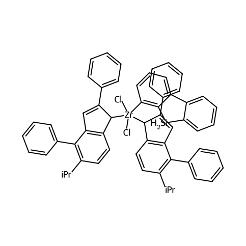 CC(C)c1ccc2c(c1-c1ccccc1)C=C(c1ccccc1)[CH]2[Zr]([Cl])([Cl])([c]1cccc2c1[SiH2]c1ccccc1-2)[CH]1C(c2ccccc2)=Cc2c1ccc(C(C)C)c2-c1ccccc1